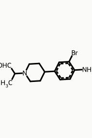 CC(C=O)N1CCC(c2ccc(N)c(Br)c2)CC1